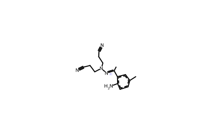 C/C(=N\N(CCC#N)CCC#N)c1cc(C)ccc1N